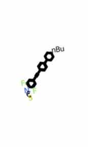 CCCCC1CCC(c2ccc(C#Cc3cc(F)c(N=C=S)c(F)c3)cc2)CC1